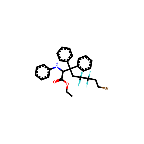 CCOC(=O)C(Nc1ccccc1)C(CC(F)(F)C(F)(F)CCBr)(c1ccccc1)c1ccccc1